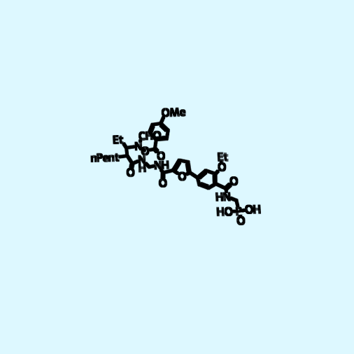 CCCCCC(C(=O)NCNC(=O)c1ccc(-c2ccc(C(=O)NCP(=O)(O)O)c(OCC)c2)o1)C(CC)N(C=O)OC(=O)c1ccc(OC)cc1